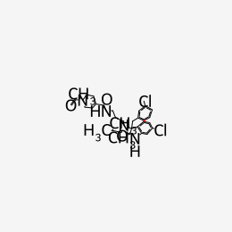 CC(=O)N1CCC(C(=O)NCCCN(CC(C)(C)C)C2(Cc3cccc(Cl)c3)C(=O)Nc3cc(Cl)ccc32)CC1